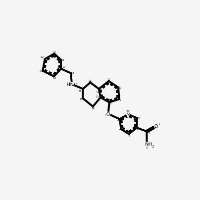 NC(=O)c1ccc(Oc2cccc3c2CCC(NCc2ccccc2)C3)nc1